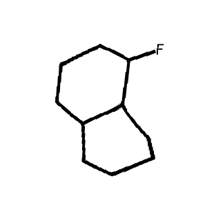 FC1CCCC2CCCCC12